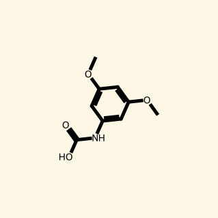 COc1cc(NC(=O)O)cc(OC)c1